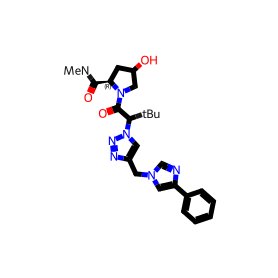 CNC(=O)[C@H]1CC(O)CN1C(=O)C(n1cc(Cn2cnc(-c3ccccc3)c2)nn1)C(C)(C)C